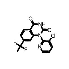 CC(F)(F)c1ccc2c(=O)[nH]c(=O)n(-c3ncccc3Cl)c2c1